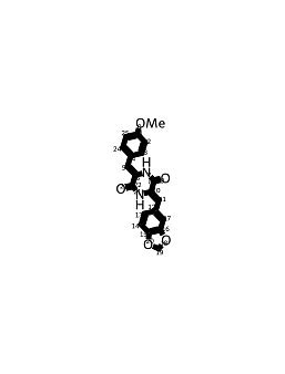 COc1ccc(/C=c2\[nH]c(=O)/c(=C/c3ccc4c(c3)OCO4)[nH]c2=O)cc1